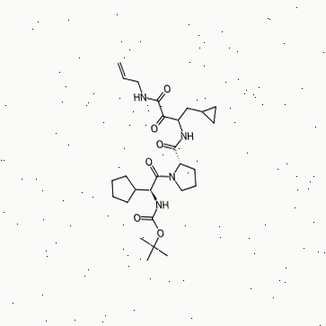 C=CCNC(=O)C(=O)C(CC1CC1)NC(=O)[C@@H]1CCCN1C(=O)[C@@H](NC(=O)OC(C)(C)C)C1CCCC1